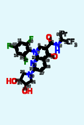 CC(C)C(NC(=O)c1cn(-c2c(F)cc(F)cc2F)c2nc(N3C[C@@H](O)[C@H](O)C3)ccc2c1=O)C(F)(F)F